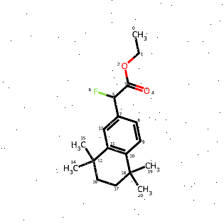 CCOC(=O)C(F)c1ccc2c(c1)C(C)(C)CCC2(C)C